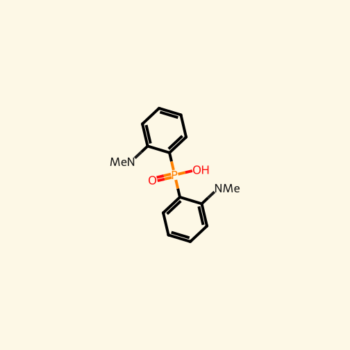 CNc1ccccc1P(=O)(O)c1ccccc1NC